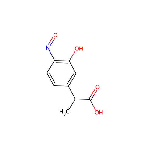 CC(C(=O)O)c1ccc(N=O)c(O)c1